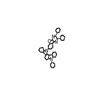 c1ccc(-c2nc3oc4cc(-n5c6ccccc6c6ccc7c(c8ccccc8n7-c7ccccc7)c65)ccc4c3nc2-c2ccccc2)cc1